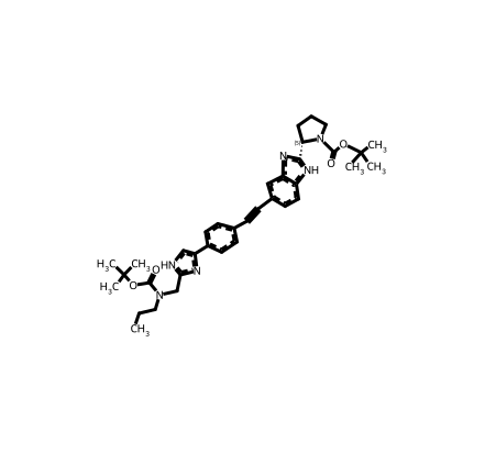 CCCN(Cc1nc(-c2ccc(C#Cc3ccc4[nH]c([C@@H]5CCCN5C(=O)OC(C)(C)C)nc4c3)cc2)c[nH]1)C(=O)OC(C)(C)C